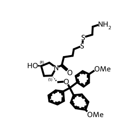 COc1ccc(C(OC[C@@H]2C[C@@H](O)CN2C(=O)CCCSSCCN)(c2ccccc2)c2ccc(OC)cc2)cc1